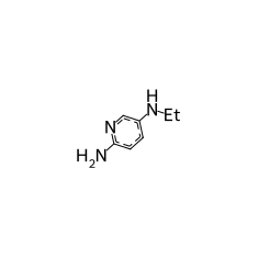 CCNc1ccc(N)nc1